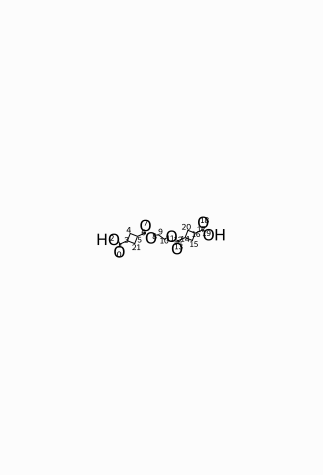 O=C(O)C1CC(C(=O)OCCOC(=O)C2CC(C(=O)O)C2)C1